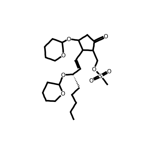 CCCCC[C@@H](C=CC1C(OC2CCCCO2)CC(=O)C1COS(C)(=O)=O)OC1CCCCO1